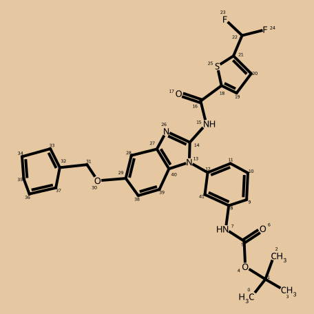 CC(C)(C)OC(=O)Nc1cccc(-n2c(NC(=O)c3ccc(C(F)F)s3)nc3cc(OCc4ccccc4)ccc32)c1